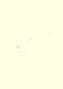 COCCCOc1ccc(CCNC(=O)C2CCCCN2S(=O)(=O)c2cccc(F)c2)cc1